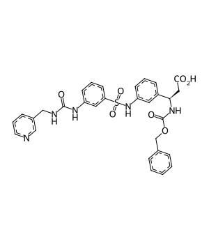 O=C(O)C[C@@H](NC(=O)OCc1ccccc1)c1cccc(NS(=O)(=O)c2cccc(NC(=O)NCc3cccnc3)c2)c1